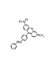 C=c1ccc2c(c1)Oc1cc(N(CC)CC)ccc1C=2c1ccc(/N=N/c2ccccc2)cc1